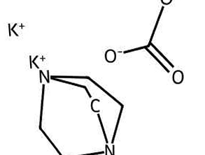 C1CN2CCN1CC2.O=C([O-])[O-].[K+].[K+]